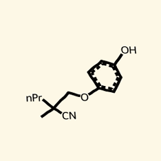 CCCC(C)(C#N)COc1ccc(O)cc1